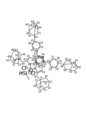 C[SiH](C)[Zr]([Cl])([Cl])([CH]1C(CC23CC4CC(CC(C4)C2)C3)=Cc2c(-c3ccc(C45CC6CC(CC(C6)C4)C5)cc3)cccc21)[CH]1C(CC23CC4CC(CC(C4)C2)C3)=Cc2c(-c3ccc(C45CC6CC(CC(C6)C4)C5)cc3)cccc21